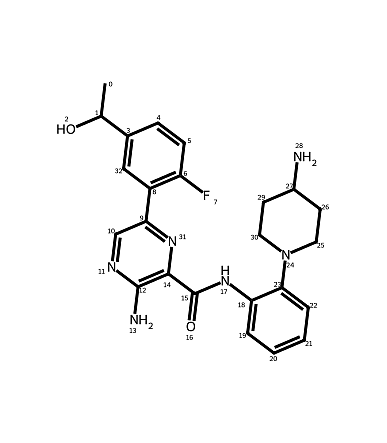 CC(O)c1ccc(F)c(-c2cnc(N)c(C(=O)Nc3ccccc3N3CCC(N)CC3)n2)c1